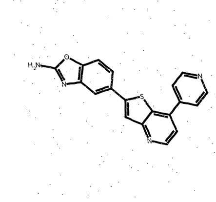 Nc1nc2cc(-c3cc4nccc(-c5ccncc5)c4s3)ccc2o1